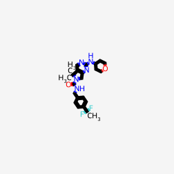 CC(F)(F)c1ccc(CNC(=O)N2Cc3nc(NC4CCOCC4)ncc3C2(C)C)cc1